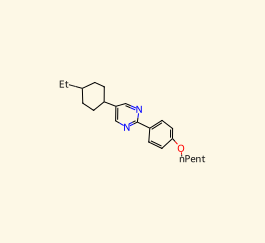 CCCCCOc1ccc(-c2ncc(C3CCC(CC)CC3)cn2)cc1